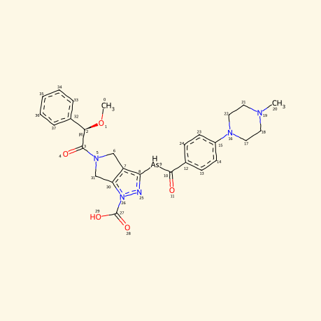 CO[C@@H](C(=O)N1Cc2c([AsH]C(=O)c3ccc(N4CCN(C)CC4)cc3)nn(C(=O)O)c2C1)c1ccccc1